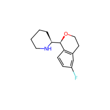 Fc1ccc2c(c1)CCO[C@@H]2[C@@H]1CCCCN1